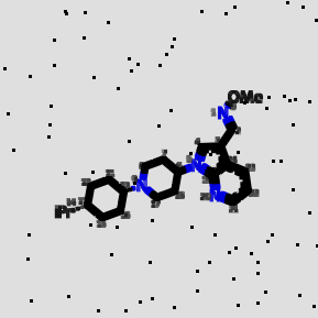 CON=Cc1cn(C2CCN([C@H]3CC[C@@H](C(C)C)CC3)CC2)c2ncccc12